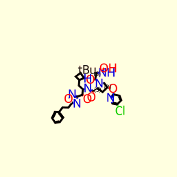 CC(C)(C)[C@H](NO)C(=O)N1C[C@H](Oc2ccc(Cl)cn2)C[C@H]1C(=O)NC(CC1CCC1)C(=O)c1noc(CCc2ccccc2)n1